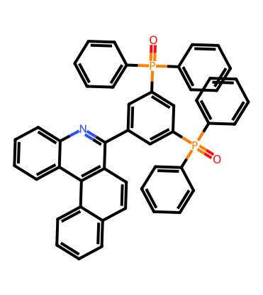 O=P(c1ccccc1)(c1ccccc1)c1cc(-c2nc3ccccc3c3c2ccc2ccccc23)cc(P(=O)(c2ccccc2)c2ccccc2)c1